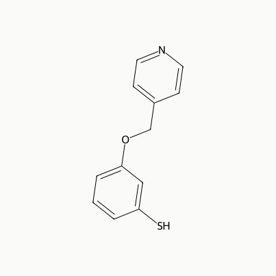 Sc1cccc(OCc2ccncc2)c1